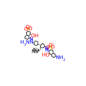 Nc1ccc2c(O)c(N=Nc3ccc(-c4ccc(N=Nc5c(N)ccc6cc(S(=O)(=O)[O-])cc(O)c56)cc4)cc3)c(S(=O)(=O)[O-])cc2c1.[Na+].[Na+]